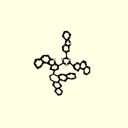 c1c2ccccc2c2ccc(-c3nc(-c4ccc5c(c4)sc4ccccc45)nc(-c4cc(C5CCc6cc7ccccc7cc6-c6cc7ccccc7cc65)cc5c4oc4ccc6ccccc6c45)n3)cc2c#1